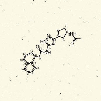 CC(=O)NC1CCC(c2cc(NC(=O)Cc3cccc4ccccc34)[nH]n2)C1